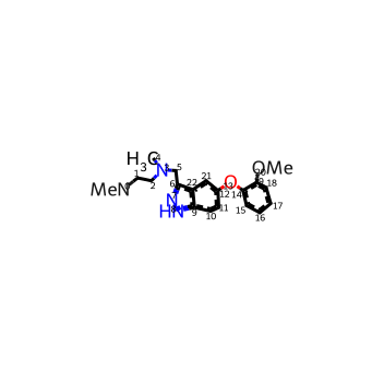 CNCCN(C)Cc1n[nH]c2ccc(Oc3ccccc3OC)cc12